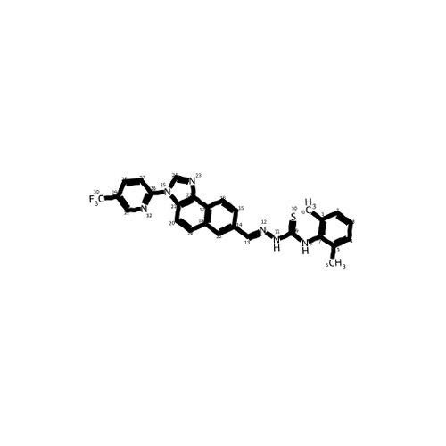 Cc1cccc(C)c1NC(=S)N/N=C/c1ccc2c(ccc3c2ncn3-c2ccc(C(F)(F)F)cn2)c1